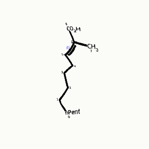 CCCCCCCCC/C=C(\C)C(=O)O